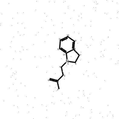 C=C(C)CCN1CCc2ccccc21